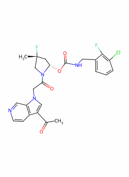 CC(=O)c1cn(CC(=O)N2C[C@](C)(F)C[C@@H]2OC(=O)NCc2cccc(Cl)c2F)c2cnccc12